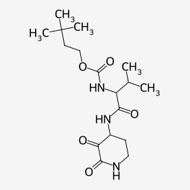 CC(C)C(NC(=O)OCCC(C)(C)C)C(=O)NC1CCNC(=O)C1=O